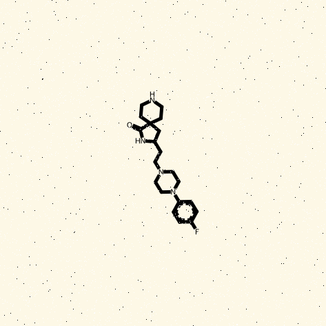 O=C1NC(CCN2CCN(c3ccc(F)cc3)CC2)CC12CCNCC2